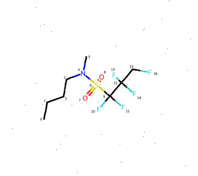 CCCCN(C)S(=O)(=O)C(F)(F)C(F)(F)CF